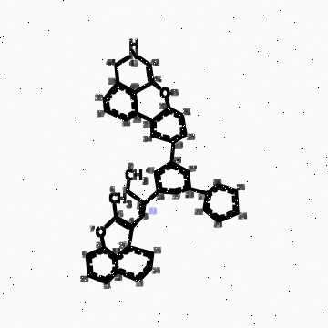 CC/C(=C\C1=C(C)Oc2cccc3cccc1c23)c1cc(-c2ccccc2)cc(-c2ccc3c(c2)-c2cccc4c2C(=CNC4)O3)c1